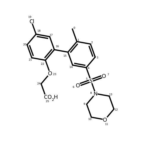 Cc1ccc(S(=O)(=O)N2CCOCC2)cc1-c1cc(Cl)ccc1OCC(=O)O